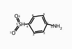 Nc1ccc([SH](=O)=O)cc1